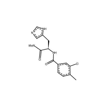 CNC(=O)[C@@H](Cc1cnc[nH]1)NC(=O)c1ccc(C)c(Cl)c1